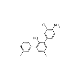 Cc1cc(-c2ccnc(C)c2)c(O)c(-c2ccc(N)c(Cl)c2)c1